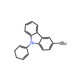 CC(C)(C)c1ccc2c(c1)c1ccccc1n2C1=CCCC=C1